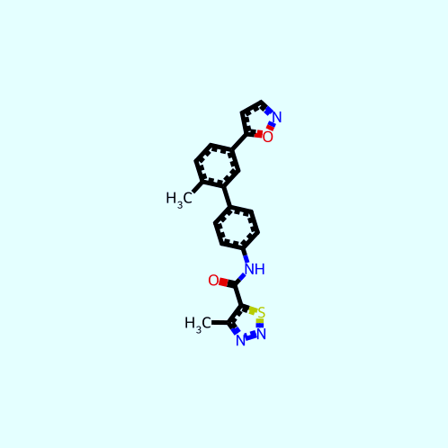 Cc1ccc(-c2ccno2)cc1-c1ccc(NC(=O)c2snnc2C)cc1